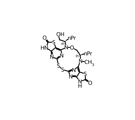 CCC[C@@H]1CON([C@@H](CO)CCC)c2nc(nc3[nH]c(=O)sc23)SSc2nc(c3sc(=O)[nH]c3n2)N1C